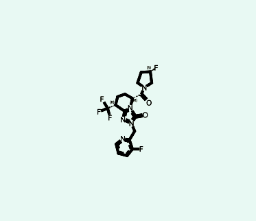 O=C([C@H]1CC[C@@H](C(F)(F)F)c2nn(Cc3ncccc3F)c(=O)n21)N1CC[C@H](F)C1